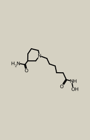 NC(=O)C1CCCN(CCCCCC(=O)NO)C1